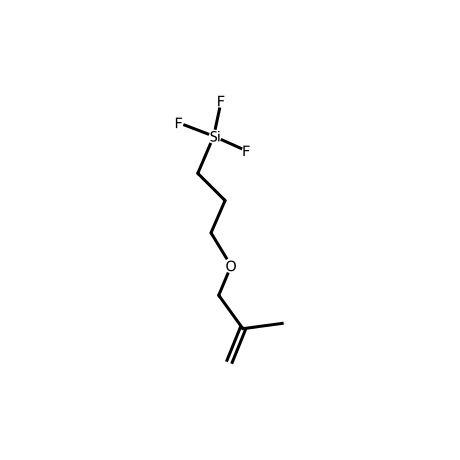 C=C(C)COCCC[Si](F)(F)F